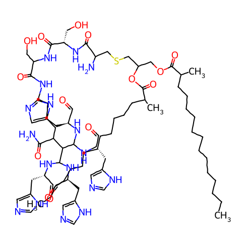 CCCCCCCCCCCCCC(C)C(=O)OCC(CSCC(N)C(=O)N[C@@H](CO)C(=O)NC(CO)C(=O)NCCCCC(C(N)=O)C(C(N[C@H](C=O)Cc1cnc[nH]1)N[C@H](C=O)Cc1cnc[nH]1)C(N[C@H](C=O)Cc1cnc[nH]1)N[C@H](C=O)Cc1cnc[nH]1)OC(=O)C(C)CCCCCCCCCCCCC